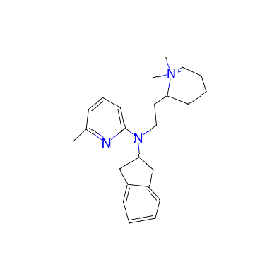 Cc1cccc(N(CCC2CCCC[N+]2(C)C)C2Cc3ccccc3C2)n1